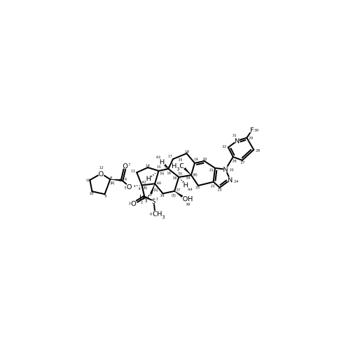 CSC(=O)[C@@]1(OC(=O)[C@H]2CCCO2)CC[C@H]2[C@@H]3CCC4=Cc5c(cnn5-c5ccc(F)nc5)C[C@]4(C)[C@H]3[C@@H](O)C[C@@]21C